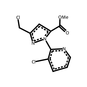 COC(=O)c1cc(CCl)nn1-c1ncccc1Cl